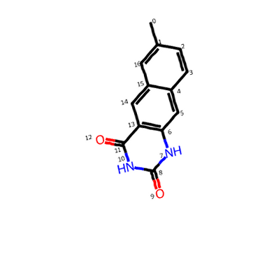 Cc1ccc2cc3[nH]c(=O)[nH]c(=O)c3cc2c1